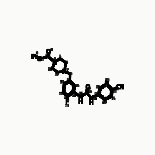 CC(C)OC(=O)N1CCN(Cc2ccc(F)c(NC(=O)Nc3ccc(C#N)nc3)c2)CC1